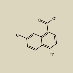 O=C([O-])c1cccc2ccc(Cl)cc12.[Tl+]